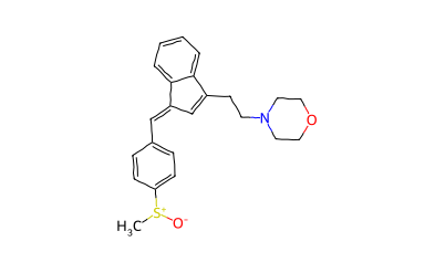 C[S+]([O-])c1ccc(C=C2C=C(CCN3CCOCC3)c3ccccc32)cc1